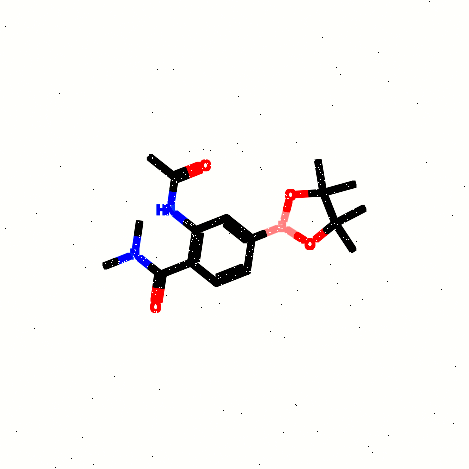 CC(=O)Nc1cc(B2OC(C)(C)C(C)(C)O2)ccc1C(=O)N(C)C